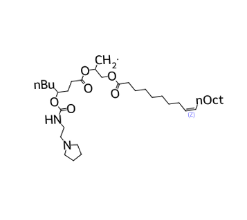 [CH2]C(COC(=O)CCCCCCC/C=C\CCCCCCCC)OC(=O)CCC(CCCC)OC(=O)NCCN1CCCC1